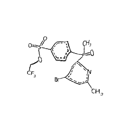 Cc1cc(Br)cc(P(C)(=O)c2ccc(S(=O)(=O)OCC(F)(F)F)cc2)n1